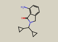 Nc1cccc2c1C(=O)N(C(C1CC1)C1CC1)C2